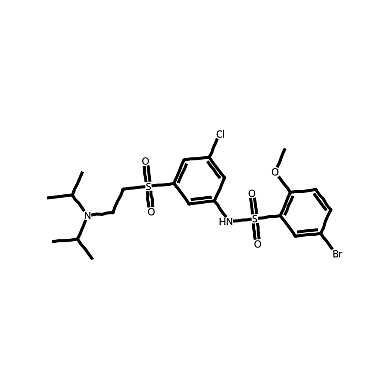 COc1ccc(Br)cc1S(=O)(=O)Nc1cc(Cl)cc(S(=O)(=O)CCN(C(C)C)C(C)C)c1